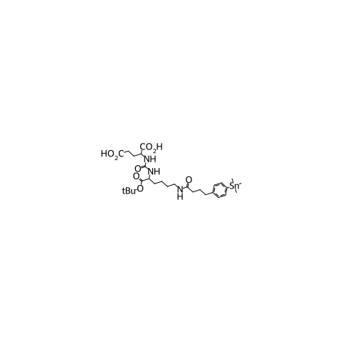 CC(C)(C)OC(=O)C(CCCCNC(=O)CCCc1cc[c]([Sn]([CH3])([CH3])[CH3])cc1)NC(=O)NC(CCC(=O)O)C(=O)O